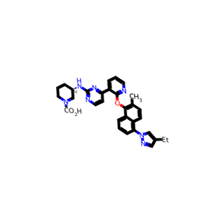 CCc1cnn(-c2cccc3c(Oc4ncccc4-c4ccnc(N[C@H]5CCCN(C(=O)O)C5)n4)c(C)ccc23)c1